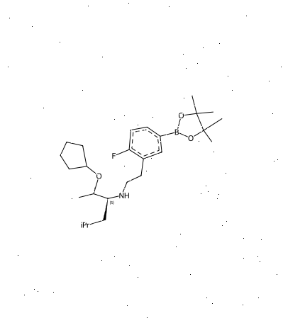 CC(C)C[C@H](NCCc1cc(B2OC(C)(C)C(C)(C)O2)ccc1F)C(C)OC1CCCC1